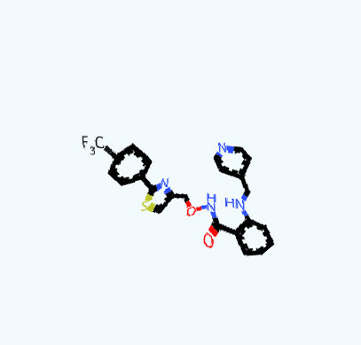 O=C(NOCc1csc(-c2ccc(C(F)(F)F)cc2)n1)c1ccccc1NCc1ccncc1